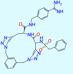 N=C(N)c1ccc(CNC(=O)[C@@H]2Cc3cn(nn3)Cc3cccc(c3)Cn3cc(nn3)C(NS(=O)(=O)Cc3ccccc3)C(=O)N2)cc1